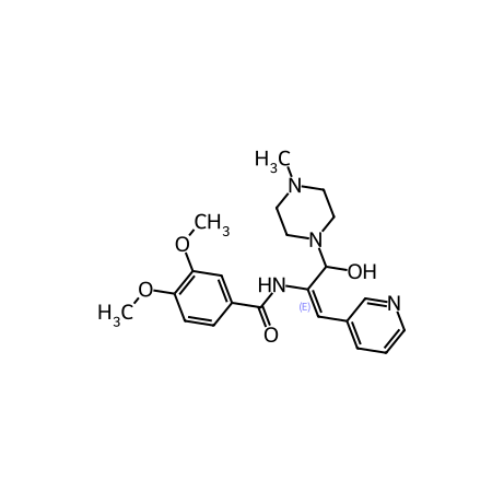 COc1ccc(C(=O)N/C(=C/c2cccnc2)C(O)N2CCN(C)CC2)cc1OC